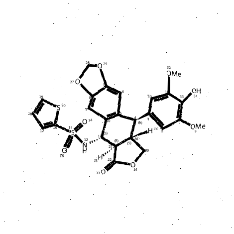 COc1cc([C@@H]2c3cc4c(cc3[C@@H](NS(=O)(=O)c3cccs3)[C@@H]3C(=O)OC[C@@H]23)OCO4)cc(OC)c1O